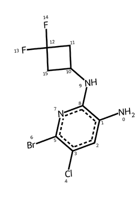 Nc1cc(Cl)c(Br)nc1NC1CC(F)(F)C1